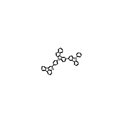 c1ccc(-n2c3ccccc3c3cc(-c4ccc5c(c4)c4c6ccccc6ccc4n5-c4ccc(-c5cc6c7c(cccc7n5)-c5ccccc5-6)cc4)ccc32)cc1